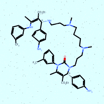 CCOC(=O)C1=C(C)N(c2cccc(C(F)(F)F)c2)C(=O)N(CCCN(C)CCCCN(C)CCCN[C@@H](/C(C(=O)OCC)=C(/C)Nc2cccc(C(F)(F)F)c2)c2ccc(N)cc2)[C@@H]1c1ccc(N)cc1